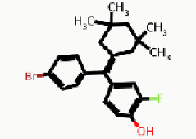 CC1(C)CC(=C(c2ccc(Br)cc2)c2ccc(O)c(F)c2)CC(C)(C)C1